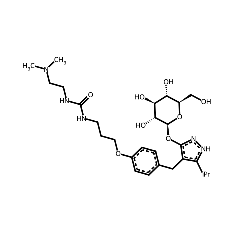 CC(C)c1[nH]nc(O[C@@H]2O[C@H](CO)[C@@H](O)[C@H](O)[C@H]2O)c1Cc1ccc(OCCCNC(=O)NCCN(C)C)cc1